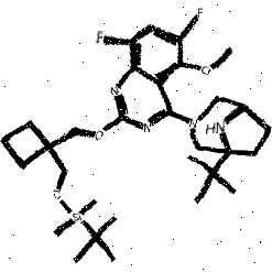 COc1c(F)cc(F)c2nc(OCC3(CO[Si](C)(C)C(C)(C)C)CCC3)nc(N3CC4CCC(C(C)(C)C)(C3)N4)c12